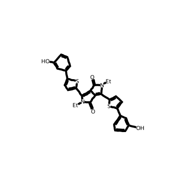 CCN1C(=O)C2=C(c3ccc(-c4cccc(O)c4)s3)N(CC)C(=O)C2=C1c1ccc(-c2cccc(O)c2)s1